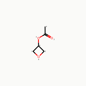 CC(=O)OC1COC1